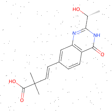 C[C@@H](O)c1nc2cc(/C=C/C(C)(C)C(=O)O)ccc2c(=O)[nH]1